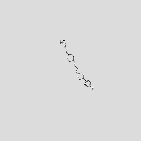 N#CC=CCC[C@H]1CC[C@H](CCCC[C@H]2CC[C@H](c3ccc(F)cc3)CC2)CC1